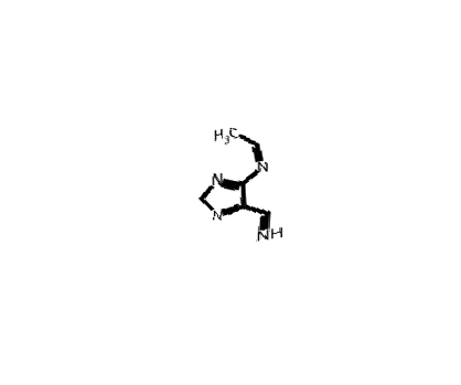 C/C=N\C1=NCN=C1C=N